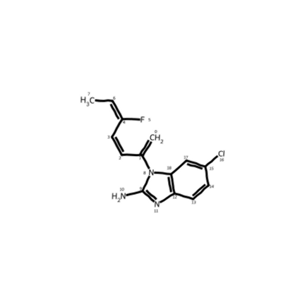 C=C(/C=C\C(F)=C/C)n1c(N)nc2ccc(Cl)cc21